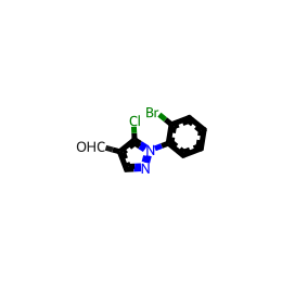 O=Cc1cnn(-c2ccccc2Br)c1Cl